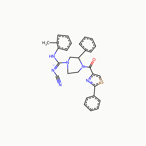 Cc1ccccc1N/C(=N/C#N)N1CCN(C(=O)c2csc(-c3ccccc3)n2)C(c2ccccc2)C1